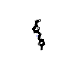 Cc1ccc(/C=C/c2ccc(C=O)o2)o1